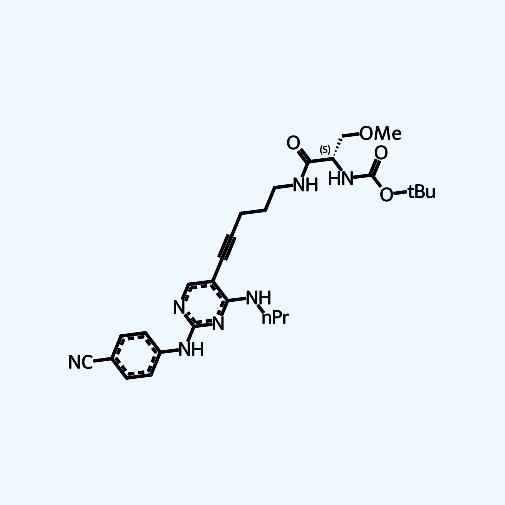 CCCNc1nc(Nc2ccc(C#N)cc2)ncc1C#CCCCNC(=O)[C@H](COC)NC(=O)OC(C)(C)C